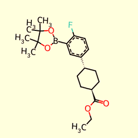 CCOC(=O)[C@H]1CC[C@H](c2ccc(F)c(B3OC(C)(C)C(C)(C)O3)c2)CC1